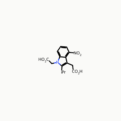 CC(C)c1c(CC(=O)O)c2c([N+](=O)[O-])cccc2n1CC(=O)O